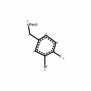 CCCCCCc1ccc(F)c(Br)c1